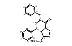 O=COC1CCC(C(=O)N(Cc2ccccc2)OCc2ccccc2)C1